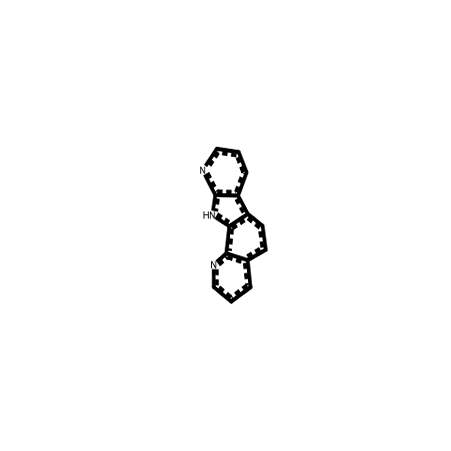 c1cnc2c(c1)ccc1c3cccnc3[nH]c12